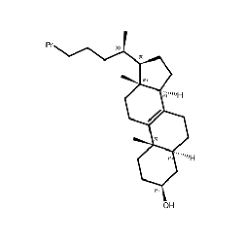 CC(C)CCC[C@@H](C)[C@H]1CC[C@H]2C3=C(CC[C@]12C)[C@@]1(C)CC[C@H](O)C[C@@H]1CC3